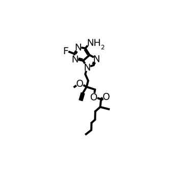 C#CC(CCn1cnc2c(N)nc(F)nc21)(COC(=O)C(C)CCCCC)OC